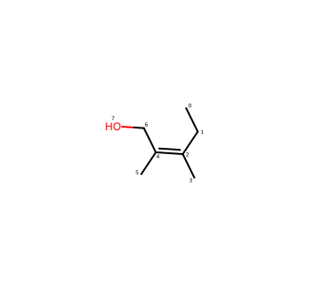 CCC(C)=C(C)CO